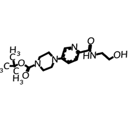 CC(C)(C)OC(=O)N1CCN(c2ccc(C(=O)NCCO)nc2)CC1